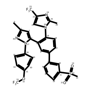 Cc1cc(-c2cc(-c3cccc(S(C)(=O)=O)c3)ccc2-n2cc(C(F)(F)F)nc2C)n(-c2ccc(OC(F)(F)F)cc2)n1